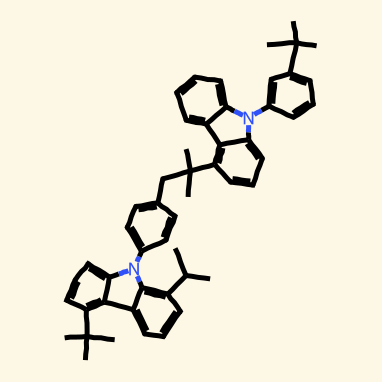 CC(C)c1cccc2c3c(C(C)(C)C)cccc3n(-c3ccc(CC(C)(C)c4cccc5c4c4ccccc4n5-c4cccc(C(C)(C)C)c4)cc3)c12